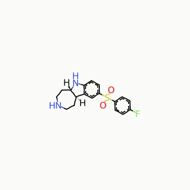 O=S(=O)(c1ccc(F)cc1)c1ccc2c(c1)[C@H]1CCNCC[C@@H]1N2